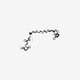 O=C(CCN1C(=O)C=CC1=O)NCC[C@@H]1CC1CCOCCOCCOCCC(=O)ON1C(=O)C=CC1=O